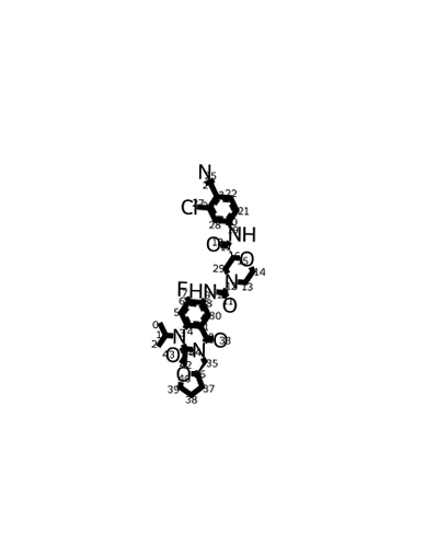 CC(C)N1c2cc(F)c(NC(=O)N3CCO[C@@H](C(=O)Nc4ccc(C#N)c(Cl)c4)C3)cc2C(=O)N(C[C@H]2CCCO2)C12CO2